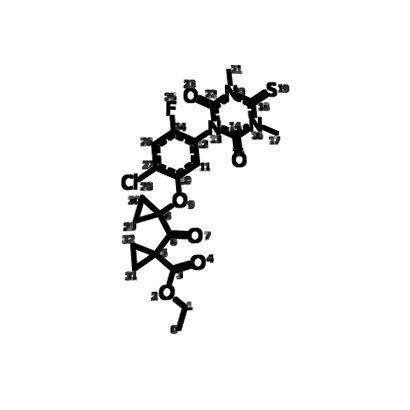 CCOC(=O)C1(C(=O)C2(Oc3cc(-n4c(=O)n(C)c(=S)n(C)c4=O)c(F)cc3Cl)CC2)CC1